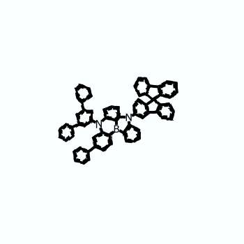 c1ccc(-c2cc(-c3ccccc3)cc(N3c4cc(-c5ccccc5)ccc4B4c5ccccc5N(c5ccc6c(c5)-c5ccccc5C65c6ccccc6-c6ccccc65)c5cccc3c54)c2)cc1